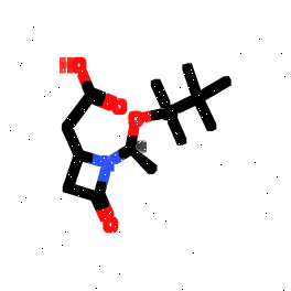 C[C@H](O[Si](C)(C)C(C)(C)C)N1C(=O)CC1CC(=O)O